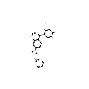 COc1cc(Br)c(Cl)cc1-c1ncnc2cc(S(=O)(=O)Nc3ncccn3)ccc12